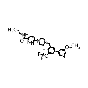 CCCNC(=O)c1ccc(N2CCN(Cc3cc(OC(F)(F)F)cc(-c4cncc(OCC)c4)c3)CC2)nn1